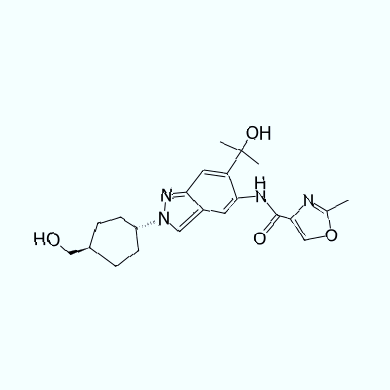 Cc1nc(C(=O)Nc2cc3cn([C@H]4CC[C@H](CO)CC4)nc3cc2C(C)(C)O)co1